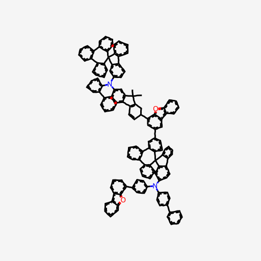 CC1(C)C2=C(C=CC(c3cc(-c4ccc5c(c4)-c4ccccc4-c4ccccc4C54c5ccccc5-c5ccc(N(c6ccc(-c7ccccc7)cc6)c6ccc(-c7cccc8c7oc7ccccc78)cc6)cc54)cc4c3oc3ccccc34)C2)c2ccc(N(c3ccc4c(c3)C3(c5ccccc5-c5ccccc5-c5ccccc53)c3ccccc3-4)c3ccccc3-c3ccccc3)cc21